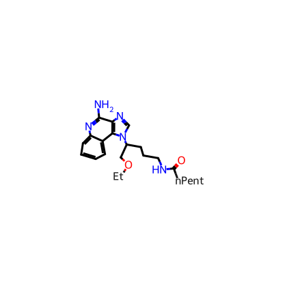 CCCCCC(=O)NCCCC(COCC)n1cnc2c(N)nc3ccccc3c21